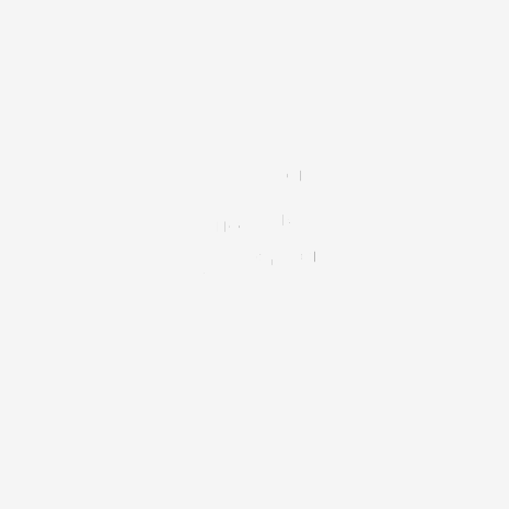 CCC[CH2][Sn][CH2]CCC.OB(O)O